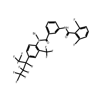 O=C(Nc1cccc(C(=O)N(Br)c2ccc(C(F)(C(F)(F)F)C(F)(F)C(F)(F)F)cc2C(F)(F)F)c1)c1c(F)cccc1F